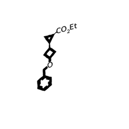 CCOC(=O)[C@H]1C[C@@H]1C1CC(OCc2ccccc2)C1